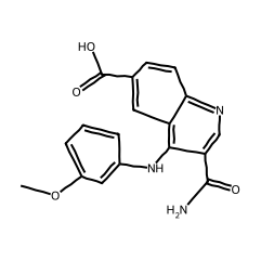 COc1cccc(Nc2c(C(N)=O)cnc3ccc(C(=O)O)cc23)c1